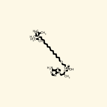 CC(C)S(CCCCCCCCCCCCCCOCCOP(=O)(O)CO[C@H](C)Cn1cnc2c(N)ncnc21)(C(C)C)C(C)C